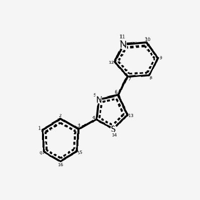 [c]1ccc(-c2nc(-c3cccnc3)cs2)cc1